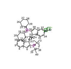 CC(C)(C)P(C1=Cc2ccccc2[CH]1[Zr+2][CH]1C(P(C2CCCCC2)C2CCCCC2)=Cc2ccccc21)C(C)(C)C.[Cl-].[Cl-]